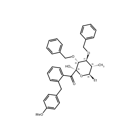 CC[C@H]1O[C@@](O)(C(=O)c2ccccc2Cc2ccc(OC)cc2)[C@H](OCc2ccccc2)[C@@H](OCc2ccccc2)[C@@H]1C